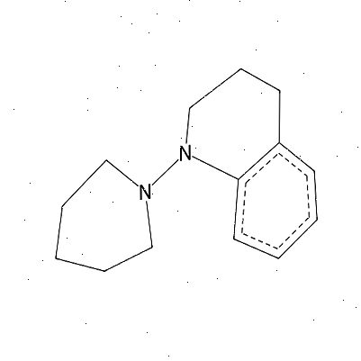 c1ccc2c(c1)CCCN2N1CCCCC1